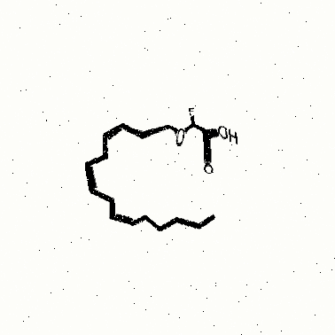 CCCCC/C=C\C/C=C\C/C=C\CCOC(F)C(=O)O